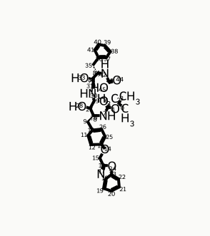 CC(C)(C)OC(=O)N[C@@H](Cc1ccc(OCc2nc3ccccc3o2)cc1)C(O)CNC[C@@H](O)[C@H](Cc1ccccc1)NC(=O)O